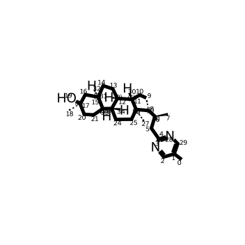 Cc1cnc(C[C@H](C)[C@H]2CC[C@H]3[C@@H]4CC[C@@H]5C[C@](C)(O)CC[C@@H]5[C@H]4CC[C@]23C)nc1